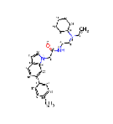 CCN(CCNC(=O)Cn1ccc2ccc(-c3ccc(C)cc3)cc21)C1CCCCC1